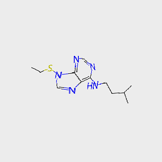 CCSn1cnc2c(NCCC(C)C)ncnc21